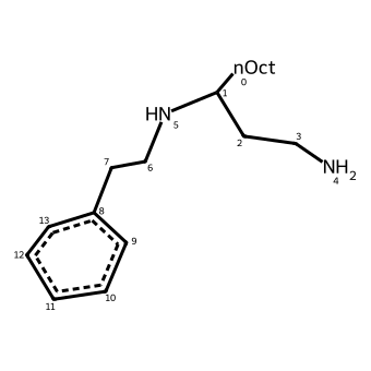 CCCCCCCCC(CCN)NCCc1ccccc1